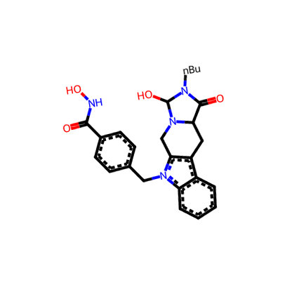 CCCCN1C(=O)C2Cc3c(n(Cc4ccc(C(=O)NO)cc4)c4ccccc34)CN2C1O